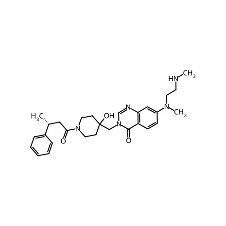 CNCCN(C)c1ccc2c(=O)n(CC3(O)CCN(C(=O)C[C@@H](C)c4ccccc4)CC3)cnc2c1